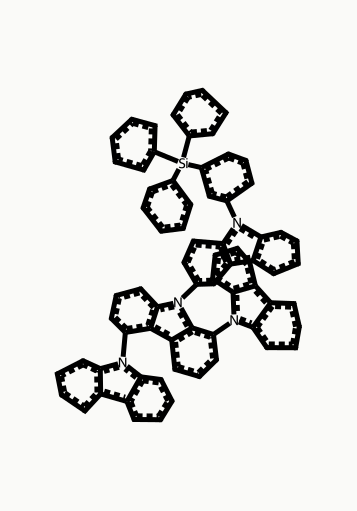 c1ccc([Si](c2ccccc2)(c2ccccc2)c2cccc(-n3c4ccccc4c4cc(-n5c6cccc(-n7c8ccccc8c8ccccc87)c6c6cccc(-n7c8ccccc8c8ccccc87)c65)ccc43)c2)cc1